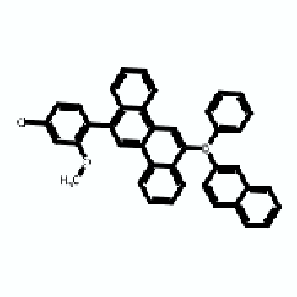 COc1cc(Cl)ccc1-c1cc2c3ccccc3c(B(c3ccccc3)c3ccc4ccccc4c3)cc2c2ccccc12